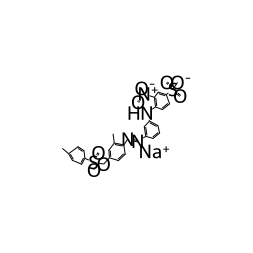 Cc1ccc(S(=O)(=O)Oc2ccc(N=Nc3cccc(Nc4ccc(S(=O)(=O)[O-])cc4[N+](=O)[O-])c3)c(C)c2)cc1.[Na+]